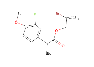 C=C(Br)COC(=O)C(c1ccc(OCC)c(F)c1)C(C)(C)C